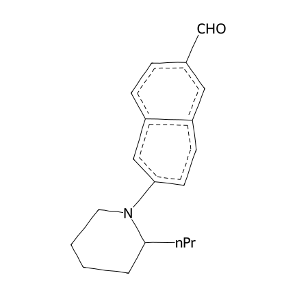 CCCC1CCCCN1c1ccc2cc(C=O)ccc2c1